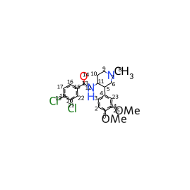 COc1ccc(C2CN(C)CCC2NC(=O)c2ccc(Cl)c(Cl)c2)cc1OC